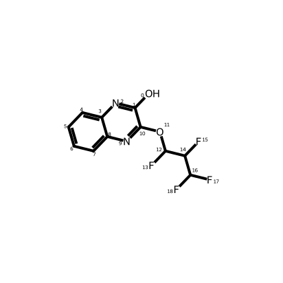 Oc1nc2ccccc2nc1OC(F)C(F)C(F)F